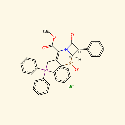 CC(C)(C)OC(=O)C1=C(C[P+](c2ccccc2)(c2ccccc2)c2ccccc2)C[S+]([O-])[C@@H]2[C@H](c3ccccc3)C(=O)N12.[Br-]